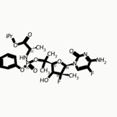 CC(C)OC(=O)[C@H](C)N[P@](=O)(Oc1ccccc1)OC(C)(C)[C@H]1O[C@@H](n2cc(F)c(N)nc2=O)[C@](C)(F)C1O